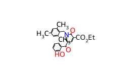 CCOC(=O)c1cc(C(=O)c2ccccc2O)cn(Cc2c(C)cc(C)cc2C)c1=O